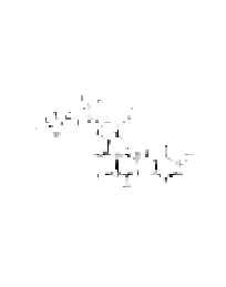 CCOC(=O)/C(=C\N[C@H](CO[Si](C)(C)C(C)(C)C)C(C)C)C(=O)c1cc(Cc2cccc(Cl)c2F)nc(Cl)c1Cl